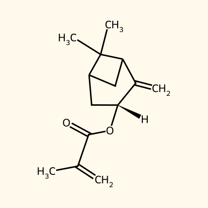 C=C(C)C(=O)O[C@@H]1CC2CC(C1=C)C2(C)C